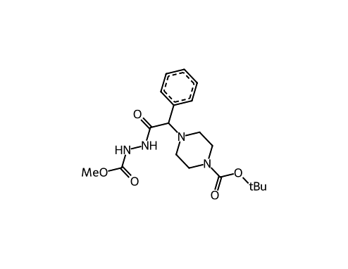 COC(=O)NNC(=O)C(c1ccccc1)N1CCN(C(=O)OC(C)(C)C)CC1